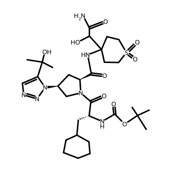 CC(C)(C)OC(=O)N[C@H](CC1CCCCC1)C(=O)N1C[C@@H](n2nncc2C(C)(C)O)C[C@H]1C(=O)NC1(C(O)C(N)=O)CCS(=O)(=O)CC1